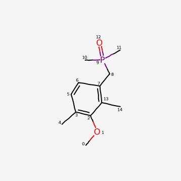 COc1c(C)ccc(CP(C)(C)=O)c1C